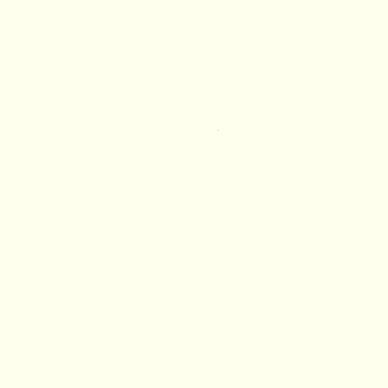 CCCCCCCC(CCCC)C1COC(=O)O1